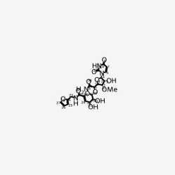 CO[C@H]1[C@@H](O)[C@H](n2ccc(=O)[nH]c2=O)O[C@@H]1[C@@H](O[C@H]1OC(C(=O)NCc2ccco2)=C[C@H](O)[C@@H]1O)C(N)=O